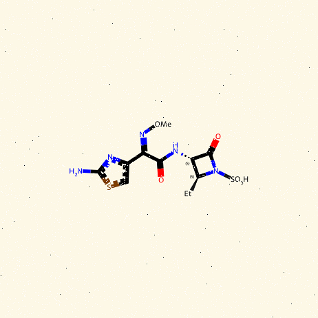 CC[C@H]1[C@H](NC(=O)C(=NOC)c2csc(N)n2)C(=O)N1S(=O)(=O)O